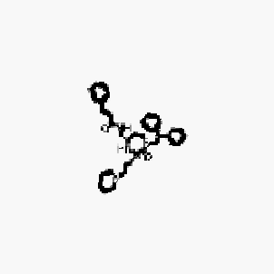 O=C(C=Cc1ccccc1)NC[C@@H]1CCN(CC(c2ccccc2)c2ccccc2)C(=O)[C@H](CCCN2CCCCC2)N1